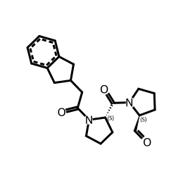 O=C[C@@H]1CCCN1C(=O)[C@@H]1CCCN1C(=O)CC1Cc2ccccc2C1